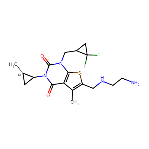 Cc1c(CNCCN)sc2c1c(=O)n(C1C[C@@H]1C)c(=O)n2CC1CC1(F)F